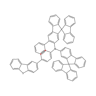 c1ccc(-c2cc3c(cc2N(c2ccc(-c4ccc5sc6ccccc6c5c4)cc2)c2ccc4c(c2)C2(c5ccccc5-c5ccccc52)c2ccccc2-4)C2(c4ccccc4-c4ccccc42)c2ccccc2-3)cc1